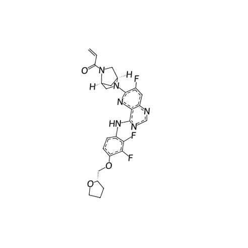 C=CC(=O)N1C[C@@H]2C[C@H]1CN2c1nc2c(Nc3ccc(OC[C@@H]4CCCO4)c(F)c3F)ncnc2cc1F